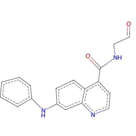 O=CCNC(=O)c1ccnc2cc(Nc3ccccc3)ccc12